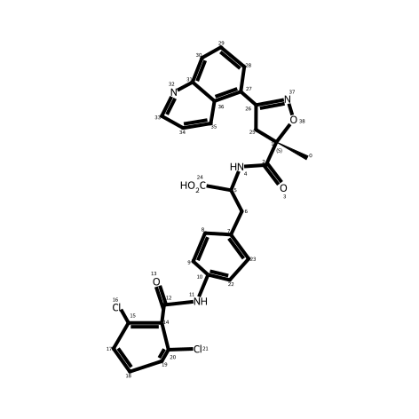 C[C@@]1(C(=O)NC(Cc2ccc(NC(=O)c3c(Cl)cccc3Cl)cc2)C(=O)O)CC(c2cccc3ncccc23)=NO1